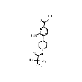 COC(=O)c1ccc(N2CCN(OC(=O)C(C)(C)C)CC2)c(N)c1